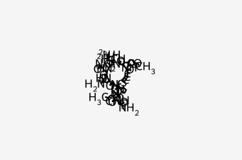 [2H]C([2H])([2H])CC(C)C1NC(=O)C(Cc2ccc(OC)cc2)NC(=O)CCCSCC(C(=O)N2CCCC2C(=O)NC(CC(C)C)C(=O)NCC(N)=O)NC(=O)C(CC(N)=O)NC(=O)C(CCC(N)=O)NC1=O